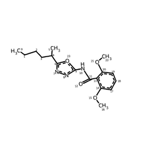 CCCCC(C)c1nnc(NC(=O)c2c(OC)cccc2OC)o1